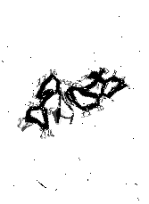 CC1(C)C2=C(C=CCC2)c2ccc(Nc3ccccc3-c3ccccc3)cc21